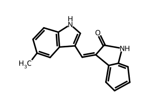 Cc1ccc2[nH]cc(C=C3C(=O)Nc4ccccc43)c2c1